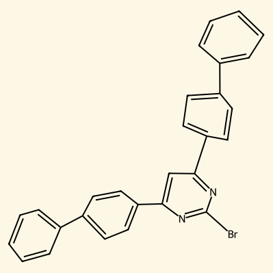 Brc1nc(-c2ccc(-c3ccccc3)cc2)cc(-c2ccc(-c3ccccc3)cc2)n1